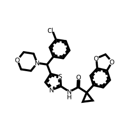 O=C(Nc1ncc(C(c2cccc(Cl)c2)N2CCOCC2)s1)C1(c2ccc3c(c2)OCO3)CC1